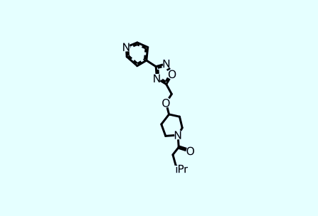 CC(C)CC(=O)N1CCC(OCc2nc(-c3ccncc3)no2)CC1